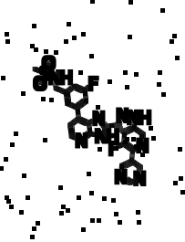 CS(=O)(=O)NCc1cc(F)cc(-c2ccnc3[nH]c(-c4n[nH]c5cnc(-c6cncnc6)c(F)c45)nc23)c1